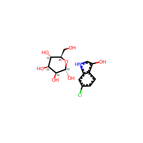 OC[C@H]1O[C@H](O)[C@@H](O)[C@@H](O)[C@@H]1O.Oc1c[nH]c2cc(Cl)ccc12